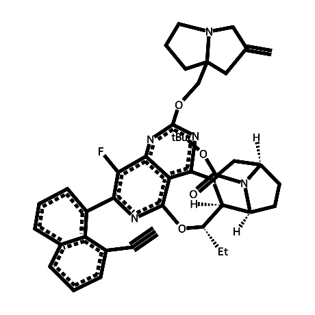 C#Cc1cccc2cccc(-c3nc4c5c(nc(OCC67CCCN6CC(=C)C7)nc5c3F)N3C[C@H]5CC[C@@H]([C@H]3[C@H](CC)O4)N5C(=O)OC(C)(C)C)c12